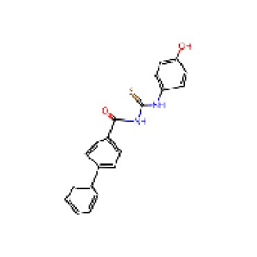 O=C(NC(=S)Nc1ccc(O)cc1)c1ccc(-c2ccccc2)cc1